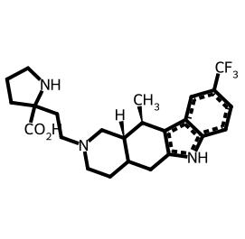 C[C@H]1c2c([nH]c3ccc(C(F)(F)F)cc23)CC2CCN(CCC3(C(=O)O)CCCN3)C[C@@H]21